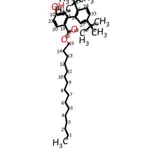 CCCCCCCCCCCCCCCCOC(=O)c1ccc(O)cc1-c1cc(C(C)(C)C)ccc1C(C)(C)C